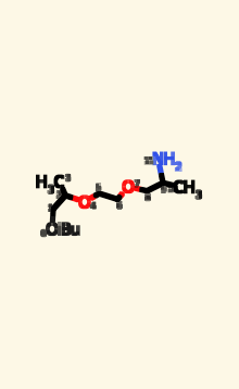 CC(C)COCC(C)OCCOCC(C)N